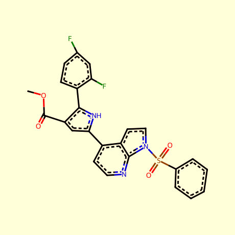 COC(=O)c1cc(-c2ccnc3c2ccn3S(=O)(=O)c2ccccc2)[nH]c1-c1ccc(F)cc1F